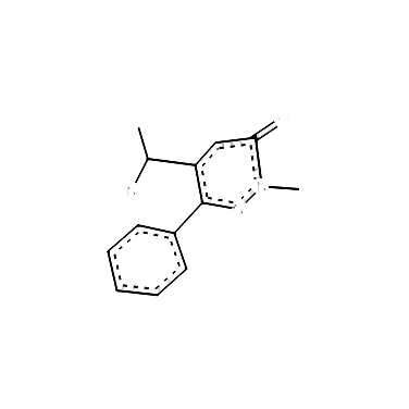 CC(N)c1cc(=O)n(C)nc1-c1ccccc1